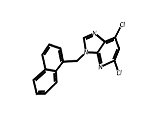 Clc1cc(Cl)c2ncn(Cc3cccc4ccccc34)c2n1